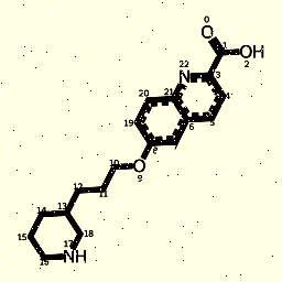 O=C(O)c1ccc2cc(OCCCC3CCCNC3)ccc2n1